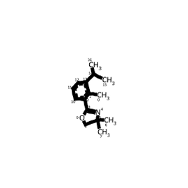 Cc1c(C2=NC(C)(C)CO2)cccc1C(C)C